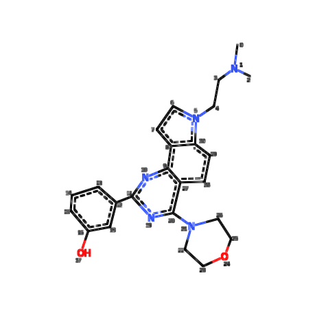 CN(C)CCn1ccc2c3nc(-c4cccc(O)c4)nc(N4CCOCC4)c3ccc21